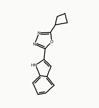 c1ccc2[nH]c(-c3nnc(C4CCC4)o3)cc2c1